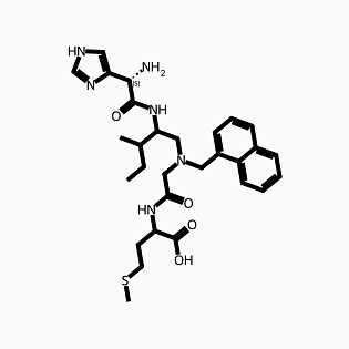 CCC(C)C(CN(CC(=O)NC(CCSC)C(=O)O)Cc1cccc2ccccc12)NC(=O)[C@@H](N)c1c[nH]cn1